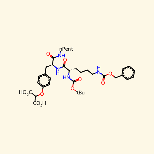 CCCCCNC(=O)[C@H](Cc1ccc(OC(C(=O)O)C(=O)O)cc1)NC(=O)[C@H](CCCCNC(=O)OCc1ccccc1)NC(=O)OC(C)(C)C